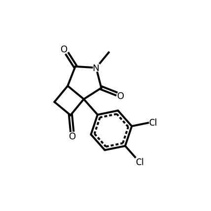 CN1C(=O)C2CC(=O)C2(c2ccc(Cl)c(Cl)c2)C1=O